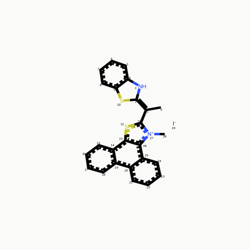 CC(=C1Nc2ccccc2S1)c1sc2c3ccccc3c3ccccc3c2[n+]1C.[I-]